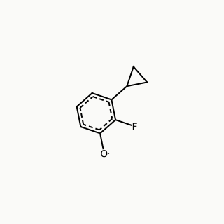 [O]c1cccc(C2CC2)c1F